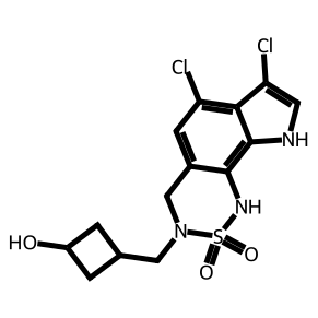 O=S1(=O)Nc2c(cc(Cl)c3c(Cl)c[nH]c23)CN1CC1CC(O)C1